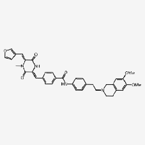 COc1cc2c(cc1OC)CN(CCc1ccc(NC(=O)c3ccc(C=c4[nH]c(=O)c(=Cc5ccoc5)n(C)c4=O)cc3)cc1)CC2